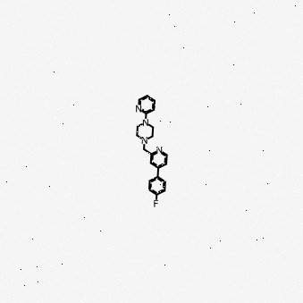 Fc1ccc(-c2ccnc(CN3CCN(c4ccccn4)CC3)c2)cc1